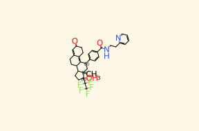 C[C@]12C[C@H](c3ccc(C(=O)NCCc4ccccn4)cc3)C3=C4CCC(=O)C=C4CCC3C1CC[C@]2(O)C(F)(F)C(F)(F)F